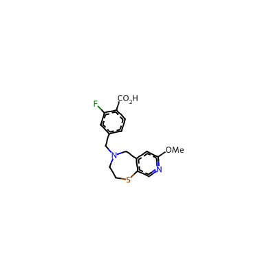 COc1cc2c(cn1)SCCN(Cc1ccc(C(=O)O)c(F)c1)C2